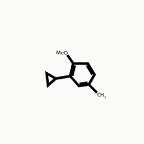 COc1ccc(C)cc1C1CC1